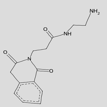 NCCNC(=O)CCN1C(=O)Cc2ccccc2C1=O